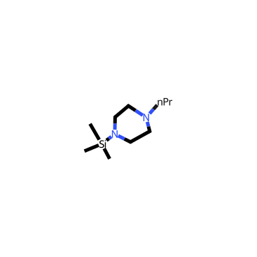 [CH2]CCN1CCN([Si](C)(C)C)CC1